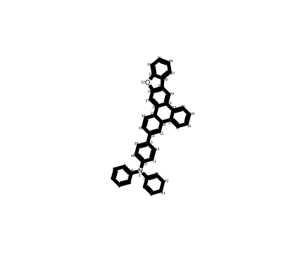 C1=CC(N(c2ccccc2)c2ccc(C3=CC4c5ccccc5-c5cc6c(cc5C4C=C3)oc3ccccc36)cc2)=CCC1